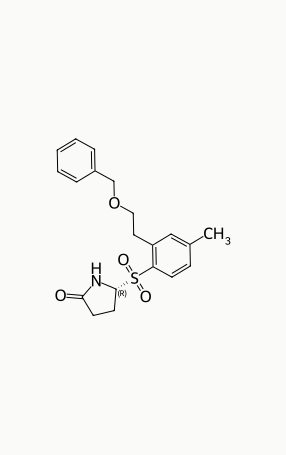 Cc1ccc(S(=O)(=O)[C@@H]2CCC(=O)N2)c(CCOCc2ccccc2)c1